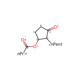 CCCCCC1C(=O)CCC1OC(=O)CCC